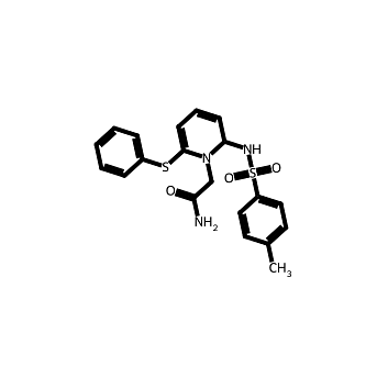 Cc1ccc(S(=O)(=O)NC2C=CC=C(Sc3ccccc3)N2CC(N)=O)cc1